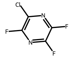 Fc1nc(F)c(Cl)nc1F